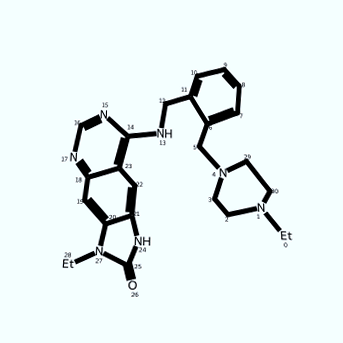 CCN1CCN(Cc2ccccc2CNc2ncnc3cc4c(cc23)[nH]c(=O)n4CC)CC1